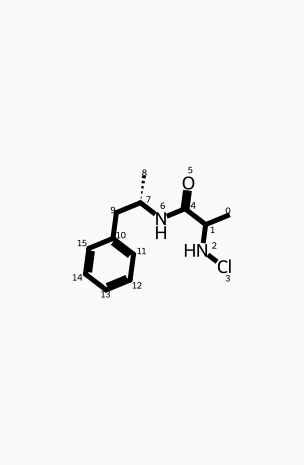 CC(NCl)C(=O)N[C@@H](C)Cc1ccccc1